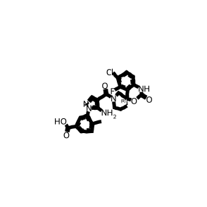 Cc1ccc(C(=O)O)cc1-n1ncc(C(=O)N2CCC[C@@]3(C2)OC(=O)Nc2ccc(Cl)c(F)c23)c1N